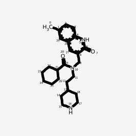 Cc1ccc2[nH]c(=O)c(CN(CCC3CCNCC3)C(=O)C3CCCCC3)cc2c1